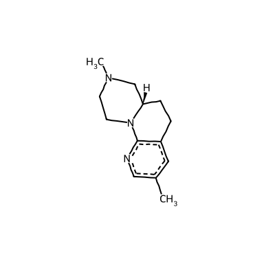 Cc1cnc2c(c1)CC[C@H]1CN(C)CCN21